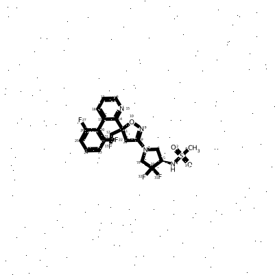 CS(=O)(=O)N[C@@H]1CN(C2=NOC(CF)(c3ncccc3-c3c(F)cccc3F)C2)CC1(F)F